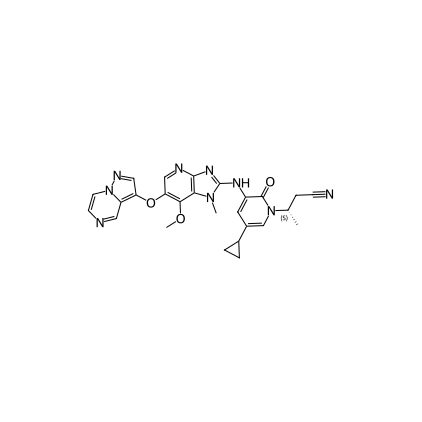 COc1c(Oc2cnn3ccncc23)cnc2nc(Nc3cc(C4CC4)cn([C@@H](C)CC#N)c3=O)n(C)c12